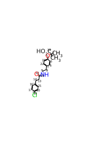 CC(C)(Oc1ccc(CCNC(=O)CCc2ccc(Cl)cc2)cc1)C(=O)O